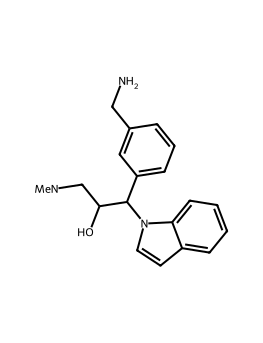 CNCC(O)C(c1cccc(CN)c1)n1ccc2ccccc21